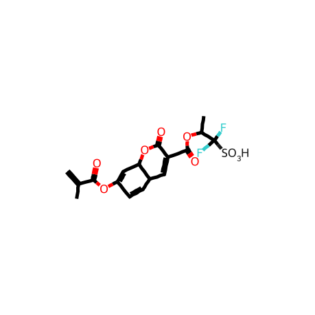 C=C(C)C(=O)OC1=CC2OC(=O)C(C(=O)OC(C)C(F)(F)S(=O)(=O)O)=CC2C=C1